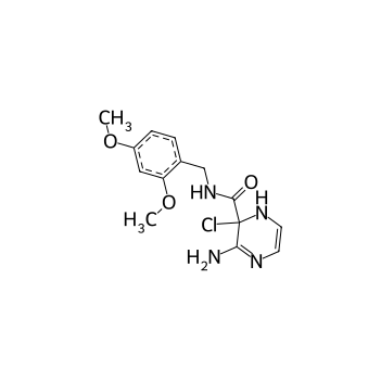 COc1ccc(CNC(=O)C2(Cl)NC=CN=C2N)c(OC)c1